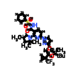 C[C@@H]1CN(c2nc(-n3ccc(OCC(O[Si](C)(C)C(C)(C)C)C4(C(F)(F)F)CC4)n3)ccc2C(=O)NS(=O)(=O)c2ccccc2)C(C)(C)C1